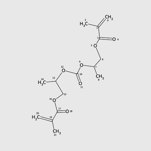 C=C(C)C(=O)OCC(C)OC(=O)OC(C)COC(=O)C(=C)C